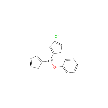 C1=CC[C]([Hf+]([O]c2ccccc2)[C]2=CC=CC2)=C1.[Cl-]